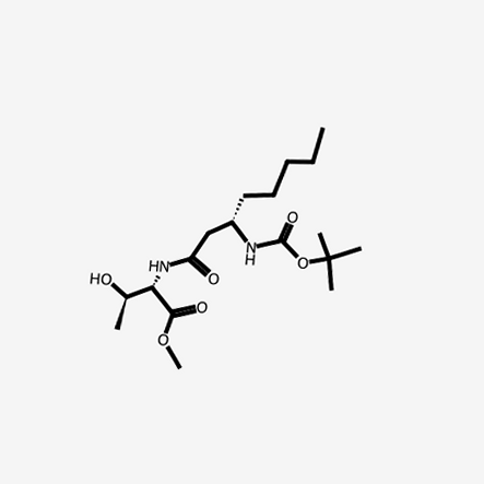 CCCCC[C@@H](CC(=O)N[C@H](C(=O)OC)[C@@H](C)O)NC(=O)OC(C)(C)C